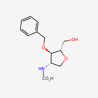 O=C(O)N[C@H]1CO[C@@H](CO)[C@@H]1OCc1ccccc1